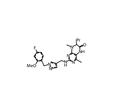 COc1cc(F)ccc1Cn1cc(CNc2nc(C)c3c(n2)N(C)C(C(C)C)C(=O)N3)cn1